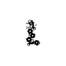 C[C@H](C(=O)Nc1ccc2sc3c(-c4cccc5c(=O)cc(N6CCOCC6)oc45)cccc3c2c1)N1CCO[C@@H](C)C1